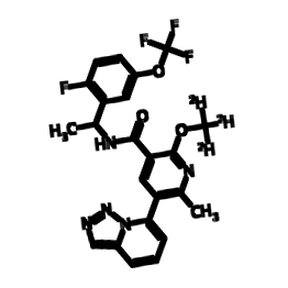 [2H]C([2H])([2H])Oc1nc(C)c(-c2cccc3cnnn23)cc1C(=O)NC(C)c1cc(OC(F)(F)F)ccc1F